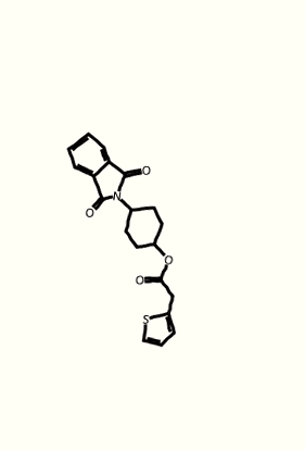 O=C(Cc1cccs1)OC1CCC(N2C(=O)c3ccccc3C2=O)CC1